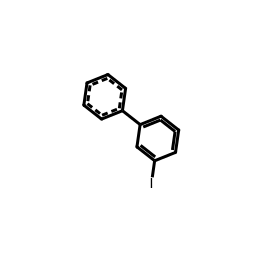 IC1=CC(c2ccccc2)=C=C=C1